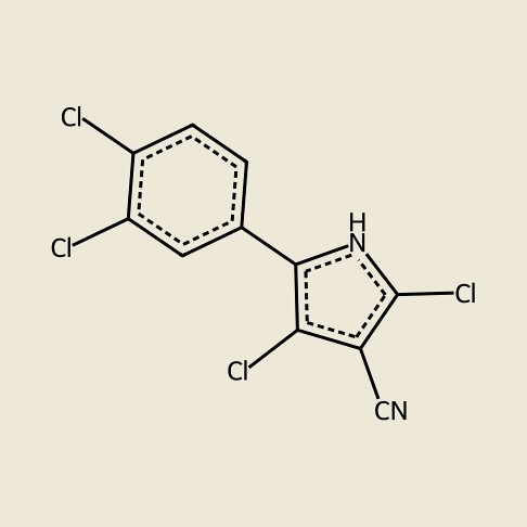 N#Cc1c(Cl)[nH]c(-c2ccc(Cl)c(Cl)c2)c1Cl